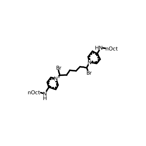 CCCCCCCCNc1cc[n+](C(Br)CCCCC(Br)[n+]2ccc(NCCCCCCCC)cc2)cc1